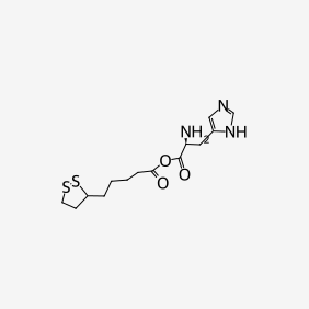 N[C@@H](Cc1cnc[nH]1)C(=O)OC(=O)CCCCC1CCSS1